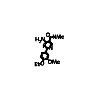 CCOc1ccc(-c2ncc(C(=O)NC)c(N)n2)cc1OC